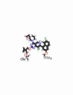 CCc1c(F)ccc2cc(OCOC)cc(-c3ncc4c(N5CCC[C@]6(CCO6)C5)nc(OCC5(CO[Si](C)(C)C(C)(C)C)CC5)nc4c3F)c12